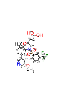 COc1cncc(C2CCCC3(C)O[C@@H](CCC(O)O)CN(S(=O)(=O)c4cccc(C(F)(F)F)c4)C3C2)c1